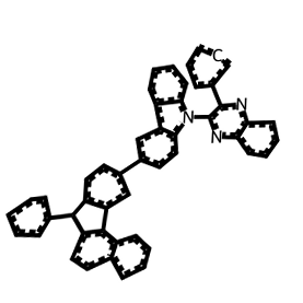 c1ccc(-c2nc3ccccc3nc2-n2c3ccccc3c3cc(-c4ccc5c(c4)-c4c(ccc6ccccc46)C5c4ccccc4)ccc32)cc1